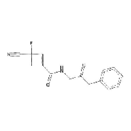 N#CC1(F)C=C(C(=O)NCC(=O)Cc2ccncc2)C1